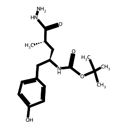 C[C@@H](C[C@H](Cc1ccc(O)cc1)NC(=O)OC(C)(C)C)C(=O)NN